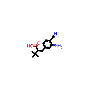 CC(C)(C)C(Cc1ccc(C#N)c(N)c1)C(=O)O